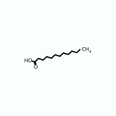 C.CCCCCCCCCCCC(=O)O